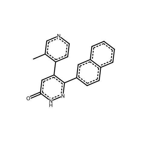 Cc1cnccc1-c1cc(=O)[nH]nc1-c1ccc2ccccc2c1